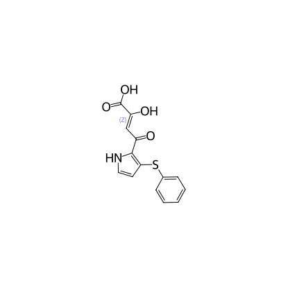 O=C(O)/C(O)=C/C(=O)c1[nH]ccc1Sc1ccccc1